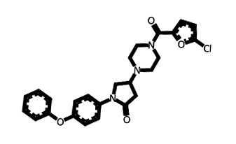 O=C(c1ccc(Cl)o1)N1CCN(C2CC(=O)N(c3ccc(Oc4ccccc4)cc3)C2)CC1